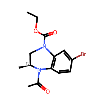 CCOC(=O)N1C[C@H](C)N(C(C)=O)c2ccc(Br)cc21